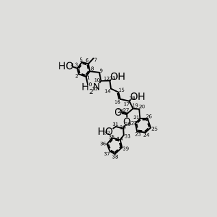 Cc1cc(O)cc(C)c1CC(N)C(O)CC=CC(O)C(Cc1ccccc1)C(=O)OC(CO)Cc1ccccc1